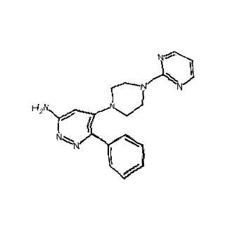 Nc1cc(N2CCN(c3ncccn3)CC2)c(-c2ccccc2)nn1